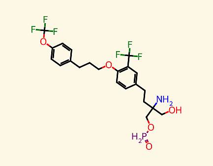 NC(CO)(CCc1ccc(OCCCc2ccc(OC(F)(F)F)cc2)c(C(F)(F)F)c1)CO[PH2]=O